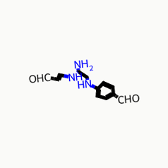 NC(CNc1ccc(C=O)cc1)N/C=C/C=O